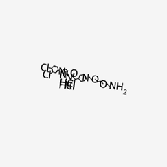 Cl.Cl.NCCOCCOCCN1CCC(CC(=O)NC2=NN(c3ccc(Cl)c(Cl)c3)CC2)CC1